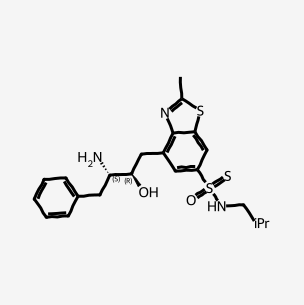 Cc1nc2c(C[C@@H](O)[C@@H](N)Cc3ccccc3)cc(S(=O)(=S)NCC(C)C)cc2s1